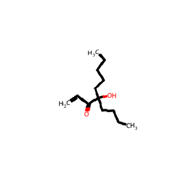 C=CC(=O)C(O)([CH]CCCC)CCCC